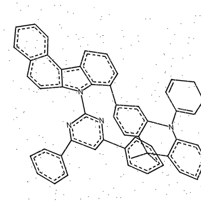 CC1(C)c2ccccc2N(C2=CCCC=C2)c2cc(-c3cccc4c5c6ccccc6ccc5n(-c5nc(-c6ccccc6)cc(-c6ccccc6)n5)c34)ccc21